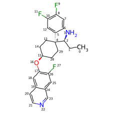 CC[C@H](N)[C@]1(c2ccc(F)c(F)c2)CC[C@H](Oc2cc3ccncc3cc2F)CC1